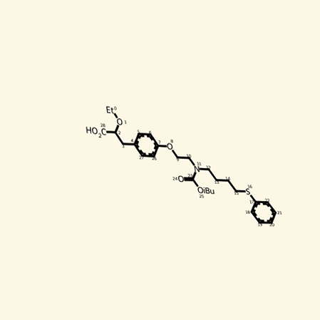 CCOC(Cc1ccc(OCCN(CCCCSc2ccccc2)C(=O)OCC(C)C)cc1)C(=O)O